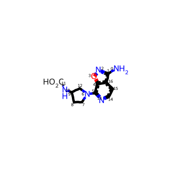 Nc1noc2c(N3CCC(NC(=O)O)C3)nccc12